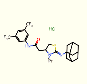 CC(C)N1C(=NC23CC4CC(CC(C4)C2)C3)SCC1CC(=O)Nc1cc(C(F)(F)F)cc(C(F)(F)F)c1.Cl